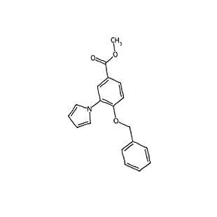 COC(=O)c1ccc(OCc2ccccc2)c(-n2cccc2)c1